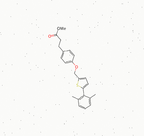 COC(=O)CCc1ccc(OCc2ccc(-c3c(C)cccc3C)s2)cc1